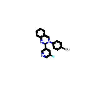 CCC(C)c1ccc(N2C=c3ccccc3=NC2c2cncc(F)c2)cc1